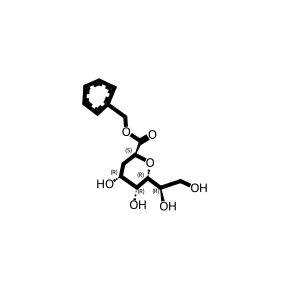 O=C(OCc1ccccc1)[C@@H]1C[C@@H](O)[C@@H](O)[C@@H]([C@H](O)CO)O1